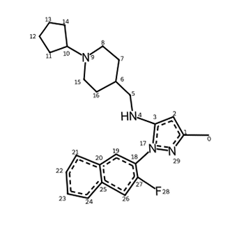 Cc1cc(NCC2CCN(C3CCCC3)CC2)n(-c2cc3ccccc3cc2F)n1